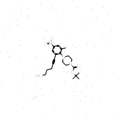 CC(C)(C)OC(=O)N1CCN(c2c(F)cc([N+](=O)[O-])cc2C#CCCCO)CC1